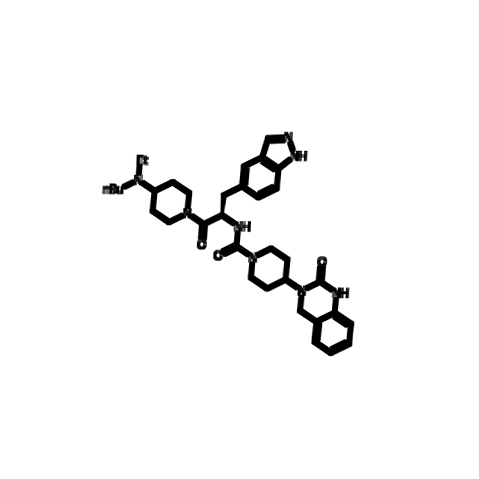 CCCCN(CC)C1CCN(C(=O)[C@@H](Cc2ccc3[nH]ncc3c2)NC(=O)N2CCC(N3Cc4ccccc4NC3=O)CC2)CC1